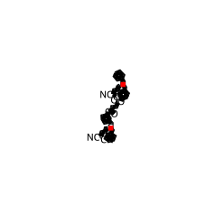 N#CC(C#N)=C/C=C/N(Cc1ccccc1)Cc1ccc(OC(=O)CCC(=O)Oc2cccc(CN(/C=C/C=C(C#N)C#N)Cc3ccccc3)c2)cc1